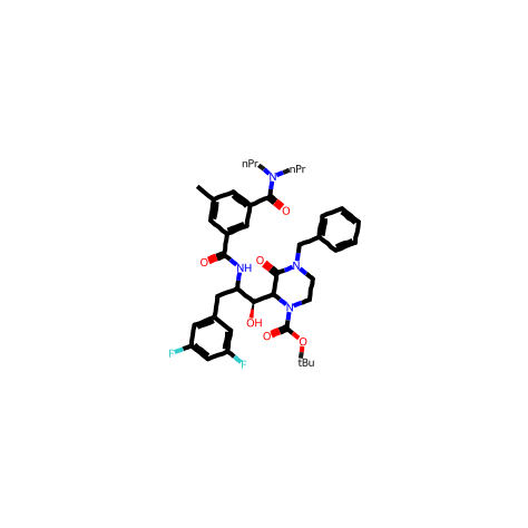 CCCN(CCC)C(=O)c1cc(C)cc(C(=O)NC(Cc2cc(F)cc(F)c2)[C@H](O)C2C(=O)N(Cc3ccccc3)CCN2C(=O)OC(C)(C)C)c1